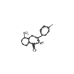 Cc1ccc(-c2cc3c([N+](=O)[O-])cccc3c(=O)[nH]2)cc1